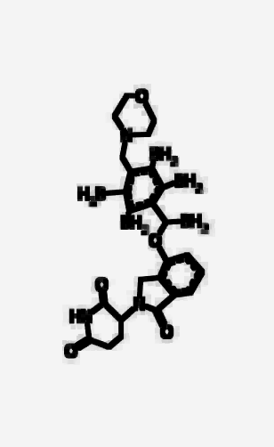 Bc1c(B)c(C(B)Oc2cccc3c2CN(C2CCC(=O)NC2=O)C3=O)c(B)c(B)c1CN1CCOCC1